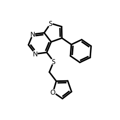 c1ccc(-c2csc3ncnc(SCc4ccco4)c23)cc1